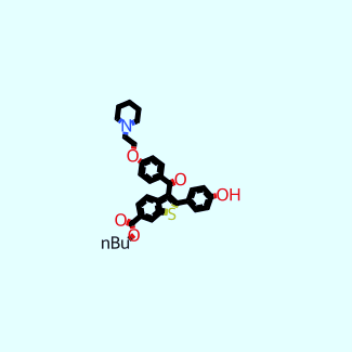 CCCCOC(=O)c1ccc2c(C(=O)c3ccc(OCCN4CCCCC4)cc3)c(-c3ccc(O)cc3)sc2c1